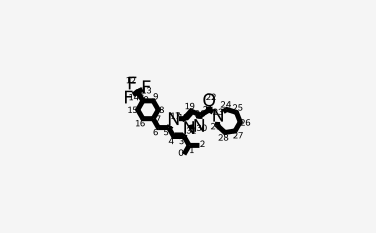 CC(C)c1cc(CC2CCC(C(F)(F)F)CC2)nc2cc(C(=O)N3CCCCCC3)nn12